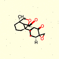 C[C@]12CCC[C@]3(COC1)C2CC(=O)[C@@]12CC[C@@H](CC13)C1(CO1)C2=O